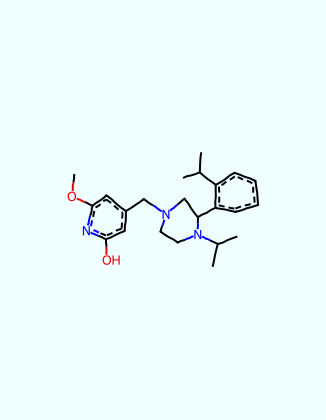 COc1cc(CN2CCN(C(C)C)C(c3ccccc3C(C)C)C2)cc(O)n1